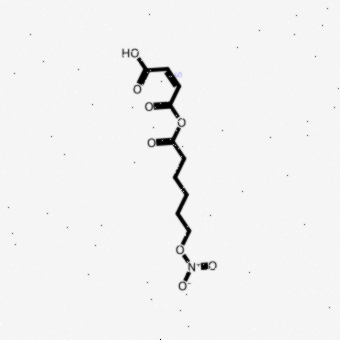 O=C(O)/C=C\C(=O)OC(=O)CCCCCO[N+](=O)[O-]